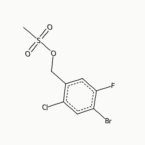 CS(=O)(=O)OCc1cc(F)c(Br)cc1Cl